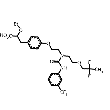 CCOC(Cc1ccc(OCCN(CCOCC(C)(F)F)C(=O)Nc2cccc(C(F)(F)F)c2)cc1)C(=O)O